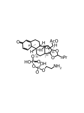 CCCC1O[C@@H]2C[C@H]3[C@@H]4CCC5=CC(=O)C=C[C@]5(C)[C@H]4[C@@H](OP(=O)(O)OP(=O)(O)OCCN)C[C@]3(C)[C@]2(C(=O)COC(C)=O)O1